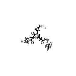 C[C@@H]1[C@@H](NC(=O)/C(=N\OC(C)(C)C(=O)NN(C)OC(=O)C(F)(F)F)c2csc(N)n2)C(=O)N1S(=O)(=O)O